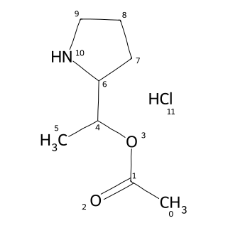 CC(=O)OC(C)C1CCCN1.Cl